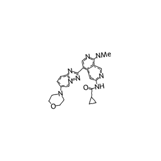 CNc1ncc(-c2nc3ccc(N4CCOCC4)cn3n2)c2cc(NC(=O)C3CC3)ncc12